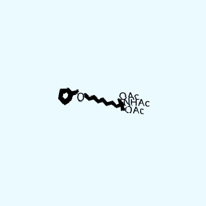 CC(=O)NC(CCCCCCCCOCc1ccccc1)(COC(C)=O)COC(C)=O